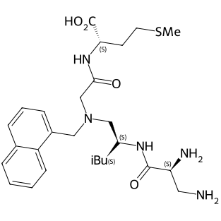 CC[C@H](C)[C@@H](CN(CC(=O)N[C@@H](CCSC)C(=O)O)Cc1cccc2ccccc12)NC(=O)[C@@H](N)CN